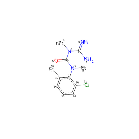 CCCN(C(=N)N)C(=O)N(CC)c1c(Cl)cccc1CC